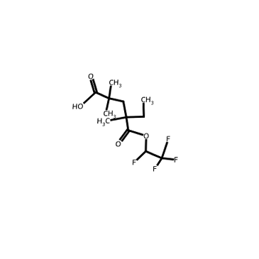 CCC(C)(CC(C)(C)C(=O)O)C(=O)OC(F)C(F)(F)F